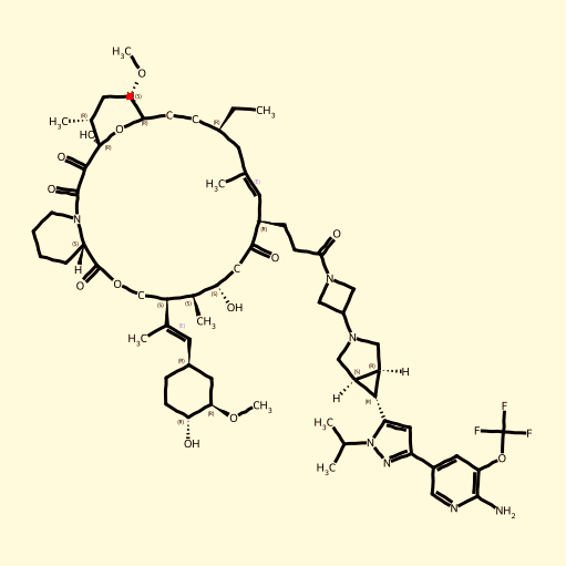 CC[C@@H]1CC[C@H]2O[C@@](O)(C(=O)C(=O)N3CCCC[C@H]3C(=O)OC[C@H](/C(C)=C/[C@@H]3CC[C@@H](O)[C@H](OC)C3)[C@H](C)[C@@H](O)CC(=O)[C@H](CCC(=O)N3CC(N4C[C@@H]5[C@H](C4)[C@H]5c4cc(-c5cnc(N)c(OC(F)(F)F)c5)nn4C(C)C)C3)/C=C(\C)C1)[C@H](C)C[C@@H]2OC